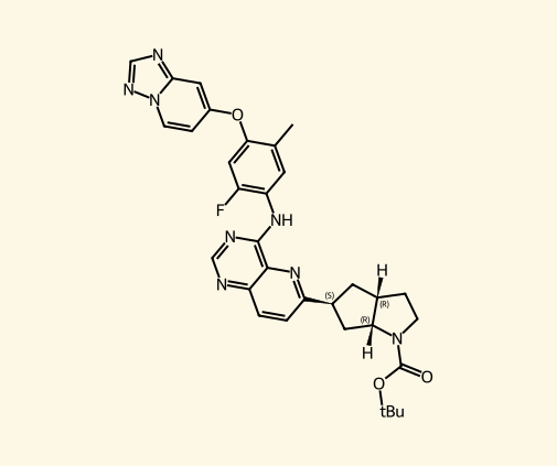 Cc1cc(Nc2ncnc3ccc([C@H]4C[C@@H]5CCN(C(=O)OC(C)(C)C)[C@@H]5C4)nc23)c(F)cc1Oc1ccn2ncnc2c1